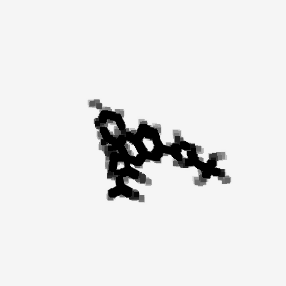 CC(=O)NC(=O)[C@]1(C(C)=O)Cc2cc(-c3nnc(C(F)(F)F)o3)ccc2N2C[C@@H](C)O[C@@H](C)[C@@H]21